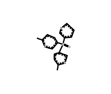 Cc1ccc(P(=O)(c2cccnc2)c2ccc(C)nc2)cn1